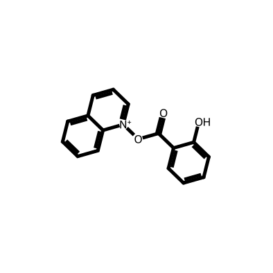 O=C(O[n+]1cccc2ccccc21)c1ccccc1O